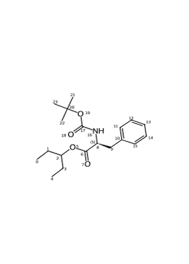 CCC(CC)OC(=O)[C@H](Cc1ccccc1)NC(=O)OC(C)(C)C